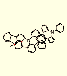 CC1(C)c2ccccc2-c2ccc(N(c3cccc4c3-c3ccccc3C43c4ccccc4N(c4ccccc4)c4ccccc43)c3c(-c4ccccc4)cccc3-c3ccccc3)cc21